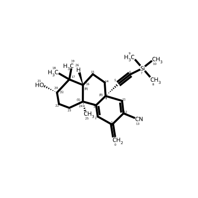 C=C1C=C2[C@](C#C[Si](C)(C)C)(C=C1C#N)CC[C@H]1C(C)(C)[C@@H](O)CC[C@]21C